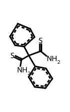 NC(=S)C(C(N)=S)(c1ccccc1)c1ccccc1